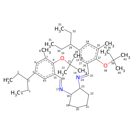 CCC(CC)c1cc(C)c(OC(C)(C)C)c(/C=N/C2CCCCC2/N=C/c2cc(C(CC)CC)cc(C)c2OC(C)(C)C)c1